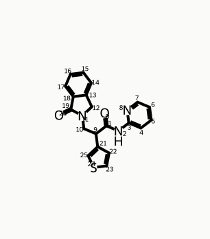 O=C(Nc1ccccn1)C(CN1Cc2ccccc2C1=O)c1ccsc1